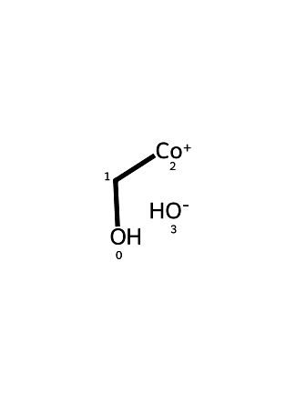 O[CH2][Co+].[OH-]